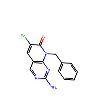 Nc1ncc2cc(Br)c(=O)n(Cc3ccccc3)c2n1